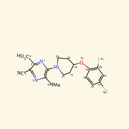 CNc1nc(C#N)c(C(=O)O)nc1N1CCC(Oc2ccc(F)cc2F)CC1